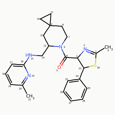 CC1=NC(C(=O)N2CCC3(CC3)CC2CNc2cccc(C)n2)C(c2ccccc2)S1